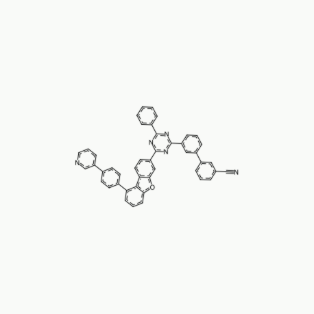 N#Cc1cccc(-c2cccc(-c3nc(-c4ccccc4)nc(-c4ccc5c(c4)oc4cccc(-c6ccc(-c7cccnc7)cc6)c45)n3)c2)c1